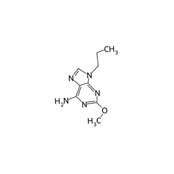 CCCn1cnc2c(N)nc(OC)nc21